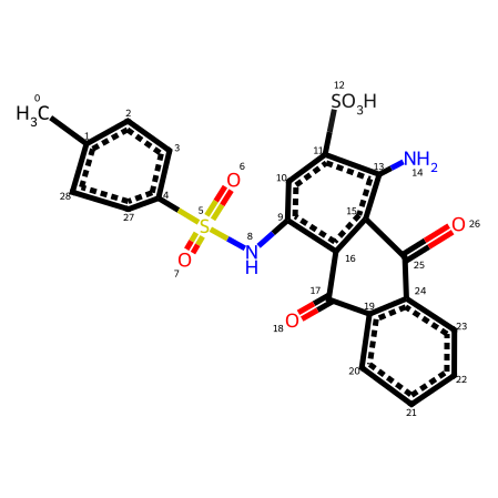 Cc1ccc(S(=O)(=O)Nc2cc(S(=O)(=O)O)c(N)c3c2C(=O)c2ccccc2C3=O)cc1